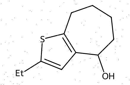 CCc1cc2c(s1)CCCCC2O